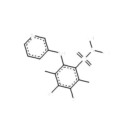 CN(C)S(=O)(=O)c1c(F)c(F)c(F)c(F)c1Nc1cccnc1